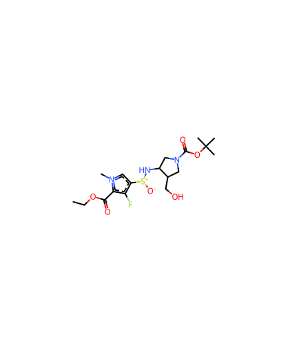 CCOC(=O)c1c(F)c([S+]([O-])NC2CN(C(=O)OC(C)(C)C)CC2CO)cn1C